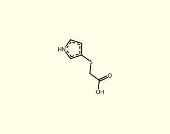 O=C(O)CSc1cc[nH]c1